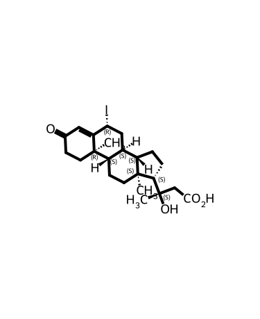 C[C@]12CC[C@H]3[C@@H](C[C@@H](I)C4=CC(=O)CC[C@@]43C)[C@@H]1CC[C@@H]2[C@@](C)(O)CC(=O)O